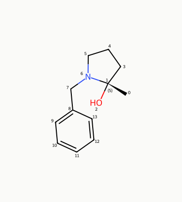 C[C@]1(O)CCCN1Cc1ccccc1